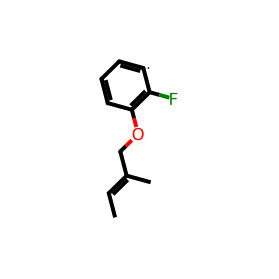 C/C=C(\C)COc1ccc[c]c1F